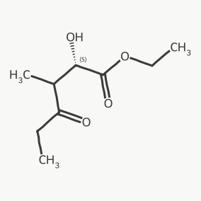 CCOC(=O)[C@@H](O)C(C)C(=O)CC